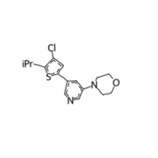 CC(C)c1sc(-c2cncc(N3CCOCC3)c2)cc1Cl